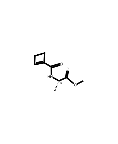 COC(=O)[C@H](C)NC(=O)C1=CCC1